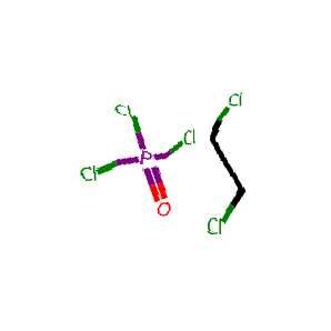 ClCCCl.O=P(Cl)(Cl)Cl